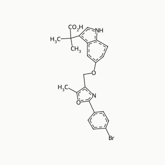 Cc1oc(-c2ccc(Br)cc2)nc1COc1ccc2[nH]cc(C(C)(C)C(=O)O)c2c1